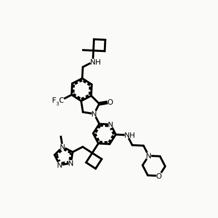 Cn1cnnc1CC1(c2cc(NCCN3CCOCC3)nc(N3Cc4c(cc(CNC5(C)CCC5)cc4C(F)(F)F)C3=O)c2)CCC1